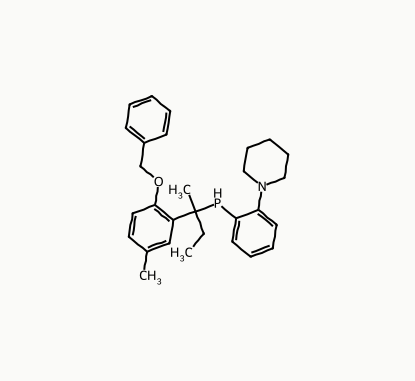 CCC(C)(Pc1ccccc1N1CCCCC1)c1cc(C)ccc1OCc1ccccc1